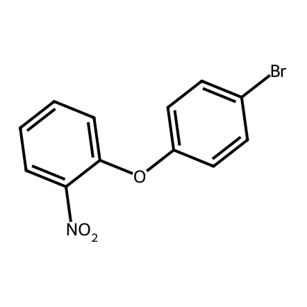 O=[N+]([O-])c1ccccc1Oc1ccc(Br)cc1